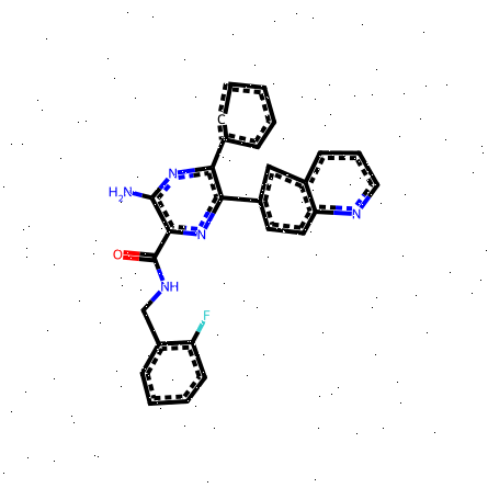 Nc1nc(-c2ccccc2)c(-c2ccc3ncccc3c2)nc1C(=O)NCc1ccccc1F